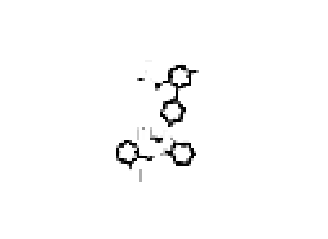 CNC(=O)c1ccc(Cl)cc1-c1ccc(-n2c(=N)n(Cc3ccccc3Cl)c3ccccc32)cc1